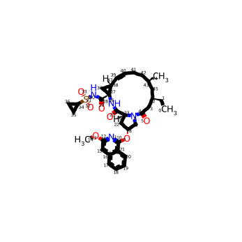 CC[C@H]1CC(=O)N2C[C@H](Oc3nc(OC)cc4ccccc34)C[C@H]2C(=O)N[C@]2(C(=O)NS(=O)(=O)C3CC3)C[C@H]2/C=C\CC[C@@H](C)C1